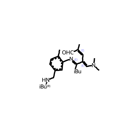 CCC(C)C(=N\c1cc(CN[C@H](C)CC)ccc1C)/C(/C=C(/C)C=O)=C/N(C)C